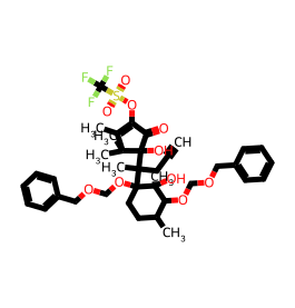 C#CCC(C)(C1(OCOCc2ccccc2)CCC(C)C(OCOCc2ccccc2)C1(C)O)C1(O)C(=O)C(OS(=O)(=O)C(F)(F)F)=C(C)C1(C)C